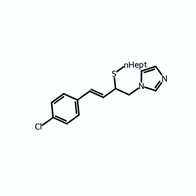 CCCCCCCSC(/C=C/c1ccc(Cl)cc1)Cn1ccnc1